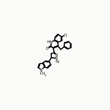 [2H]N1N=C(c2c(Cc3ccccc3)c3cc(Cl)ccc3[nH]c2=O)CC1c1ccc2c(ccn2C)c1